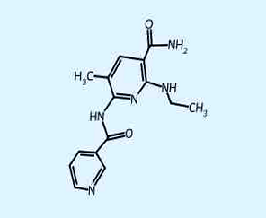 CCNc1nc(NC(=O)c2cccnc2)c(C)cc1C(N)=O